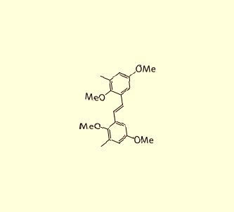 COc1cc(C)c(OC)c(C=Cc2cc(OC)cc(C)c2OC)c1